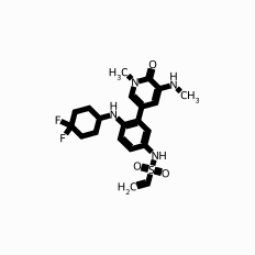 C=CS(=O)(=O)Nc1ccc(NC2CCC(F)(F)CC2)c(-c2cc(NC)c(=O)n(C)c2)c1